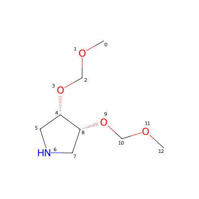 COCO[C@H]1CNC[C@H]1OCOC